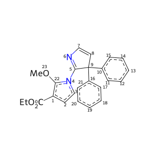 CCOC(=O)c1ccn(C2=NC=CC2(c2ccccc2)c2ccccc2)c1OC